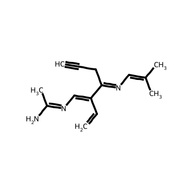 C#CCC(=N\C=C(C)C)/C(C=C)=C/N=C(\C)N